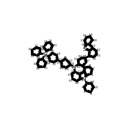 c1ccc(-n2c3ccccc3c3c(N(c4ccc(-c5ccc([Si](c6ccccc6)(c6ccccc6)c6ccccc6)cc5)cc4)c4ccc(-c5cccc6c5sc5ccccc56)cc4)cccc32)cc1